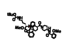 COC(=O)[C@H](CCCCNC(=O)OC(C)(C)C)NC(=O)[C@@]1(c2ccccc2)CC[C@H](C(=O)N2CCC(NC(=O)c3ccccc3OC)CC2)c2ccccc21